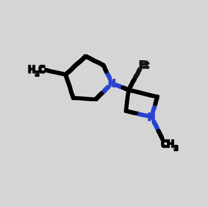 CCC1(N2CCC(C)CC2)CN(C)C1